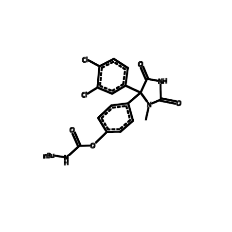 CCCCNC(=O)Oc1ccc(C2(c3ccc(Cl)c(Cl)c3)C(=O)NC(=O)N2C)cc1